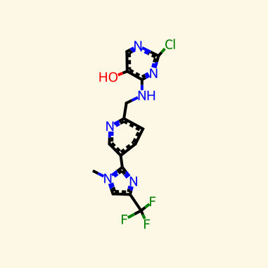 Cn1cc(C(F)(F)F)nc1-c1ccc(CNc2nc(Cl)ncc2O)nc1